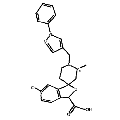 C[C@H]1CC2(CCN1Cc1cnn(-c3ccccc3)c1)OC(C(=O)O)c1ccc(Cl)cc12